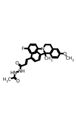 COc1ccc2c(c1)CCN(c1ccc(F)cc1)C2(C)c1ccc(C=CC(=O)NNC(C)=O)cc1